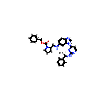 CC(Nc1nccc(-n2cnc3ccc(NCC4CCCN4C(=O)OCc4ccccc4)cc32)n1)c1ccccc1